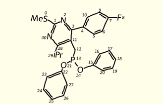 CSc1nc(-c2ccc(F)cc2)c(CP(Oc2ccccc2)Oc2ccccc2)c(C(C)C)n1